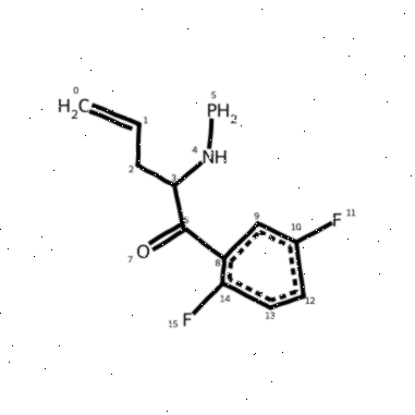 C=CCC(NP)C(=O)c1cc(F)ccc1F